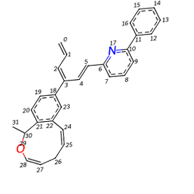 C=C/C=C(\C=C\c1cccc(-c2ccccc2)n1)c1ccc2c(c1)/C=C\C/C=C\OC2C